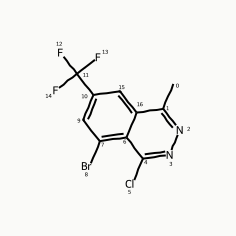 Cc1nnc(Cl)c2c(Br)cc(C(F)(F)F)cc12